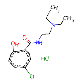 CCN(CC)CCNC(=O)c1cc(Cl)ccc1O.Cl